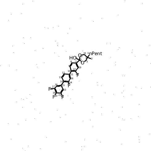 CCCCCC1(C)COC(O)(c2ccc(-c3ccc(-c4cc(F)c(F)c(F)c4)c(F)c3)c(F)c2)OC1